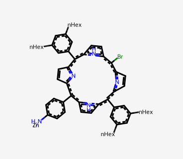 CCCCCCc1cc(CCCCCC)cc(-c2c3nc(c(-c4ccc(N)cc4)c4ccc([nH]4)c(-c4cc(CCCCCC)cc(CCCCCC)c4)c4nc(c(Br)c5ccc2[nH]5)C=C4)C=C3)c1.[Zn]